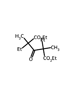 CCOC(=O)C(C)(CC)C(=O)C(C)(CC)C(=O)OCC